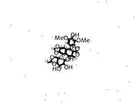 COc1cc([C@@H]2c3cc4c(cc3C(OC3OC5COC(C)OC5C(O)C3O)[C@H]3COC(=O)[C@H]23)OCO4)cc(OC)c1O